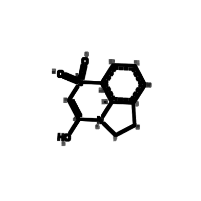 O=S1(=O)C=C(O)N2CCc3cccc1c32